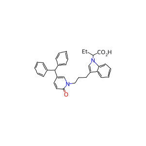 CCC(C(=O)O)n1cc(CCCn2cc(C(c3ccccc3)c3ccccc3)ccc2=O)c2ccccc21